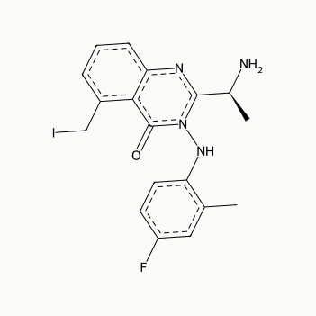 Cc1cc(F)ccc1Nn1c([C@H](C)N)nc2cccc(CI)c2c1=O